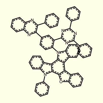 c1ccc(-c2nc(-c3ccccc3)nc(-c3cc(-c4nc5ccccc5nc4-c4ccccc4)ccc3-n3c4ccccc4c4c5c6ccccc6oc5c5c(c6ccccc6n5-c5ccccc5)c43)n2)cc1